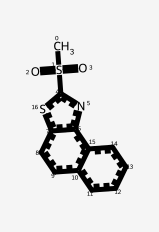 CS(=O)(=O)c1nc2c(ccc3ccccc32)s1